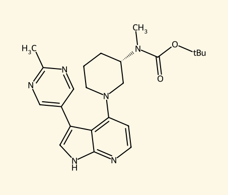 Cc1ncc(-c2c[nH]c3nccc(N4CCC[C@H](N(C)C(=O)OC(C)(C)C)C4)c23)cn1